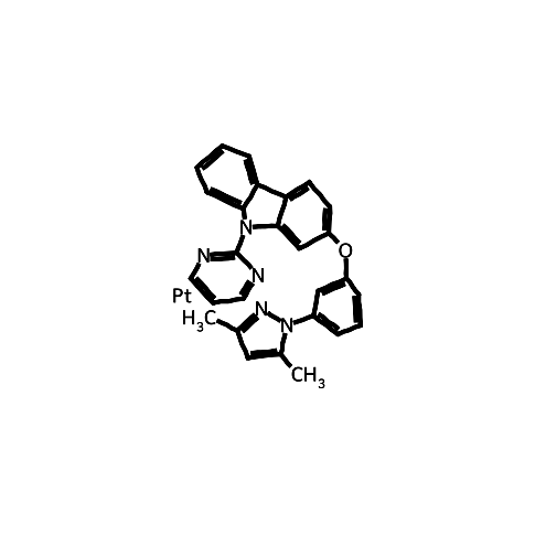 Cc1cc(C)n(-c2cccc(Oc3ccc4c5ccccc5n(-c5ncccn5)c4c3)c2)n1.[Pt]